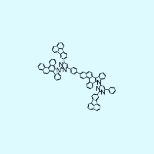 c1ccc(-c2cc(-n3c4ccccc4c4c5ccc6cc(-c7ccc(-c8cc(-c9ccc%10c(c9)-c9cccc%11cccc-%10c9%11)nc(-n9c%10ccccc%10c%10c%11ccc%12ccccc%12c%11c%11ccccc%11c%109)n8)cc7)ccc6c5c5ccccc5c43)nc(-c3ccc4c(c3)-c3cccc5cccc-4c35)n2)cc1